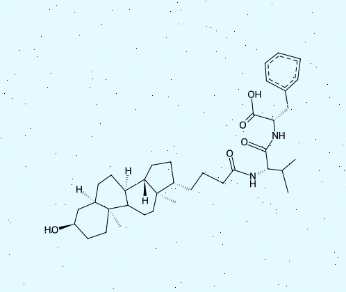 CC(C)[C@H](NC(=O)CCC[C@H]1CC[C@H]2[C@@H]3CC[C@@H]4C[C@H](O)CC[C@]4(C)C3CC[C@]12C)C(=O)N[C@@H](Cc1ccccc1)C(=O)O